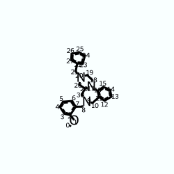 COc1ccccc1CN1Cc2ccccc2N2CCN(Cc3ccccc3)CC2C1